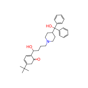 CC(C)(C)C1=CC=C(C(O)CCCN2CCC(C(O)(c3ccccc3)c3ccccc3)CC2)C(=O)C1